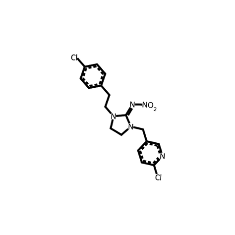 O=[N+]([O-])N=C1N(CCc2ccc(Cl)cc2)CCN1Cc1ccc(Cl)nc1